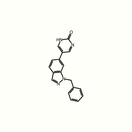 O=c1ncc(-c2ccc3cnn(Cc4ccccc4)c3c2)c[nH]1